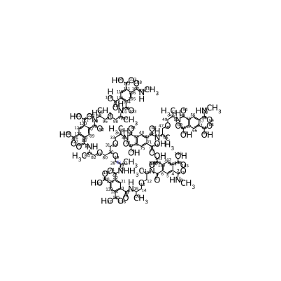 CNC(=O)c1cc(C(=O)NC(C)COCC(C)NC(=O)c2cc(C(=O)N/C(C)=C/OC(COCC(C)NC(=O)c3cc(C(=O)NC(C)COCC(C)NC(=O)c4cc(C(=O)NC)c(C(=O)O)cc4C(=O)O)c(C(=O)O)cc3C(=O)O)COCC(C)NC(=O)c3cc(C(=O)NC(C)COCC(C)NC(=O)c4cc(C(=O)NC)c(C(=O)O)cc4C(=O)O)c(C(=O)O)cc3C(=O)O)c(C(=O)O)cc2C(=O)O)c(C(=O)O)cc1C(=O)O